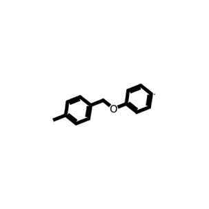 Cc1ccc(COc2cc[c]cc2)cc1